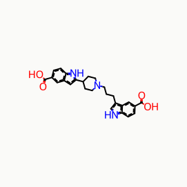 O=C(O)c1ccc2[nH]c(C3CCN(CCCc4c[nH]c5ccc(C(=O)O)cc45)CC3)cc2c1